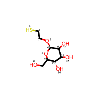 OCC1O[C@@H](OCCS)C(O)C(O)[C@@H]1O